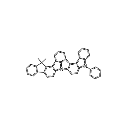 CC1(C)c2ccccc2-c2ccc3c(c21)c1cccc2c4c5c6ccccc6n(-c6ccccc6)c5ccc4n3c12